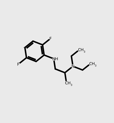 CCN(CC)C(C)CNc1cc(F)[c]cc1F